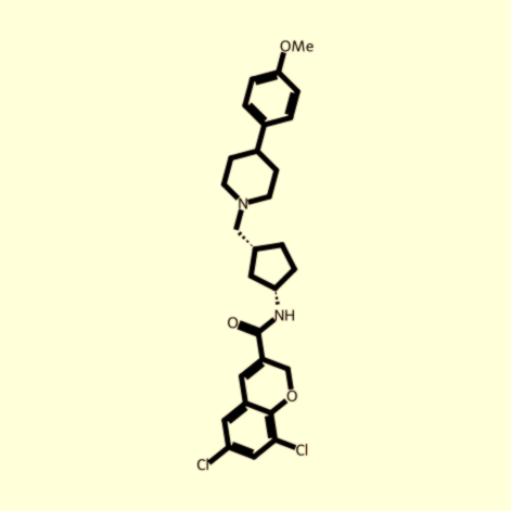 COc1ccc(C2CCN(C[C@@H]3CC[C@H](NC(=O)C4=Cc5cc(Cl)cc(Cl)c5OC4)C3)CC2)cc1